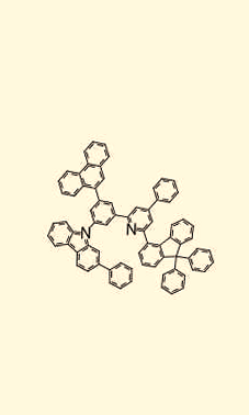 c1ccc(-c2cc(-c3cc(-c4cc5ccccc5c5ccccc45)cc(-n4c5ccccc5c5ccc(-c6ccccc6)cc54)c3)nc(-c3cccc4c3-c3ccccc3C4(c3ccccc3)c3ccccc3)c2)cc1